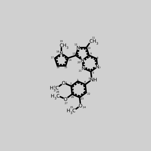 COc1cc(Nc2ncc3c(C)nc(-c4cccn4C)n3n2)cc(OC)c1OC